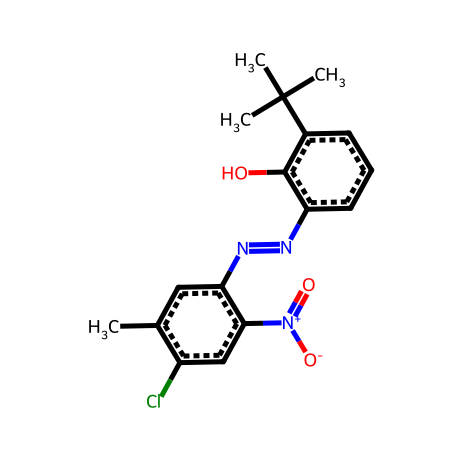 Cc1cc(N=Nc2cccc(C(C)(C)C)c2O)c([N+](=O)[O-])cc1Cl